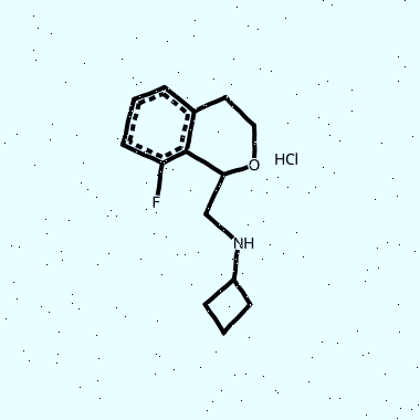 Cl.Fc1cccc2c1C(CNC1CCC1)OCC2